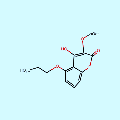 CCCCCCCCOc1c(O)c2c(OCCC(=O)O)cccc2oc1=O